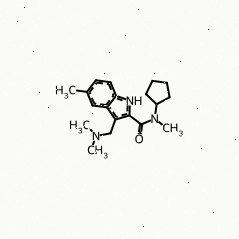 Cc1ccc2[nH]c(C(=O)N(C)C3CCCC3)c(CN(C)C)c2c1